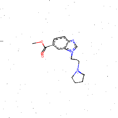 COC(=O)c1ccc2ncn(CCN3CCCC3)c2c1